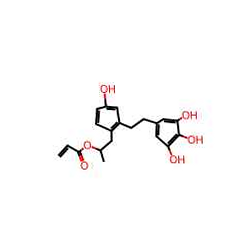 C=CC(=O)OC(C)Cc1ccc(O)cc1CCc1cc(O)c(O)c(O)c1